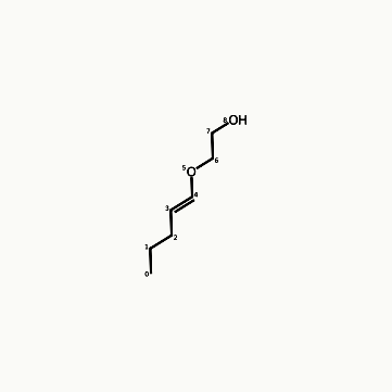 CCCC=COCCO